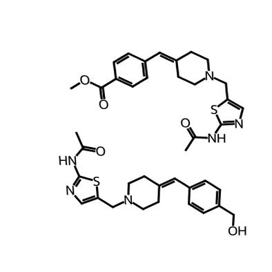 CC(=O)Nc1ncc(CN2CCC(=Cc3ccc(CO)cc3)CC2)s1.COC(=O)c1ccc(C=C2CCN(Cc3cnc(NC(C)=O)s3)CC2)cc1